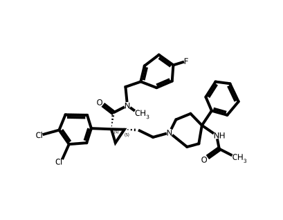 CC(=O)NC1(c2ccccc2)CCN(CC[C@@H]2C[C@@]2(C(=O)N(C)Cc2ccc(F)cc2)c2ccc(Cl)c(Cl)c2)CC1